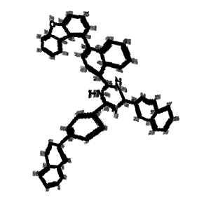 c1ccc2cc(-c3ccc(C4=NC(c5ccc6ccccc6c5)NC(c5ccc(-c6cccc7oc8ccccc8c67)c6ccccc56)N4)cc3)ccc2c1